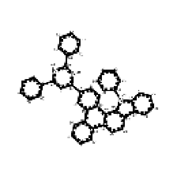 c1ccc(-c2cc(-c3ccc4c(c3)c3ccccc3c3ccc5c6ccccc6n(-c6ccccc6)c5c34)nc(-c3ccccc3)n2)cc1